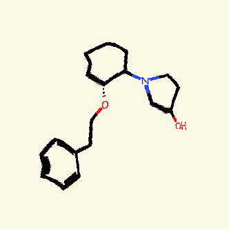 OC1CCN(C2CCCC[C@H]2OCCc2ccccc2)C1